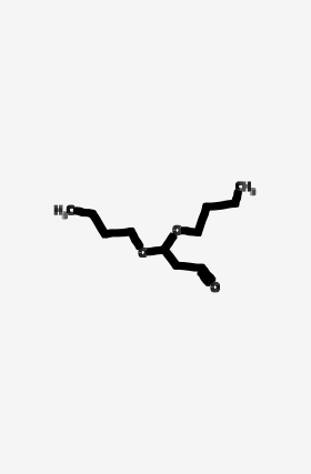 CCCCOC(CC=O)OCCCC